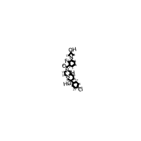 O=C(c1cccc(N2CC(O)C2)c1F)N1CCN2C[C@@](O)(c3ccc(Cl)cc3)CC[C@@H]2C1